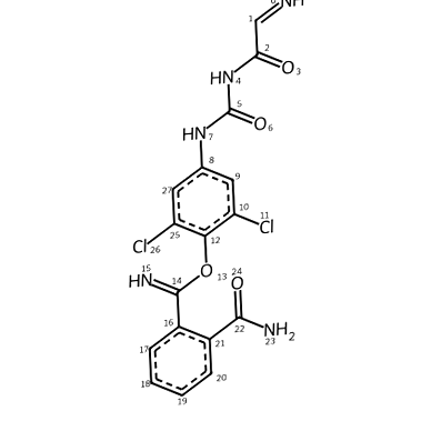 N=CC(=O)NC(=O)Nc1cc(Cl)c(OC(=N)c2ccccc2C(N)=O)c(Cl)c1